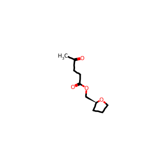 CC(=O)CCC(=O)OC[C@@H]1CCCO1